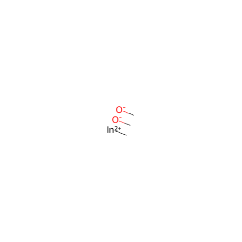 C[O-].C[O-].[CH3][In+2]